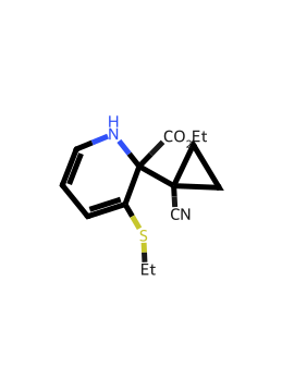 CCOC(=O)C1(C2(C#N)CC2)NC=CC=C1SCC